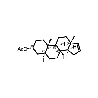 CC(=O)O[C@@H]1CC[C@@]2(C)[C@@H](CC[C@@H]3[C@@H]2CC[C@]2(C)C=CC[C@@H]32)C1